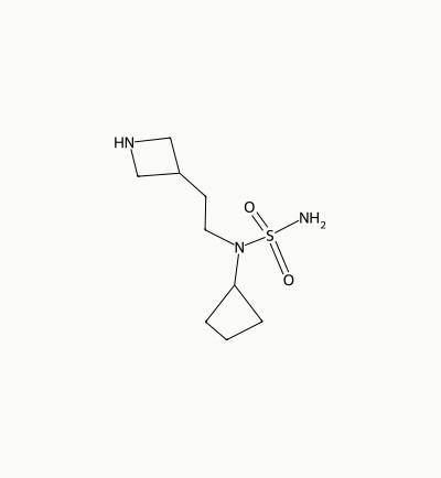 NS(=O)(=O)N(CCC1CNC1)C1CCC1